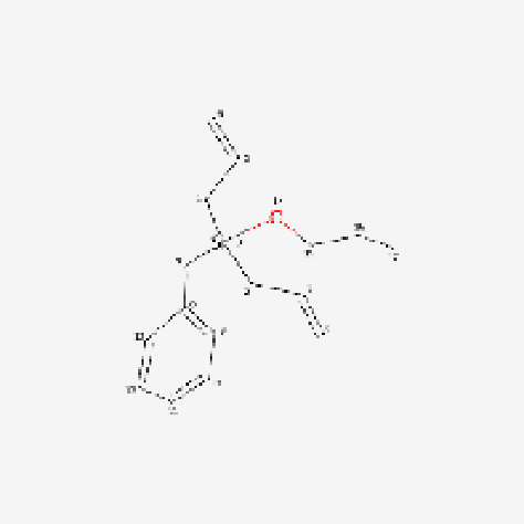 C=CC[Si](CC=C)(Cc1ccccc1)OCCC